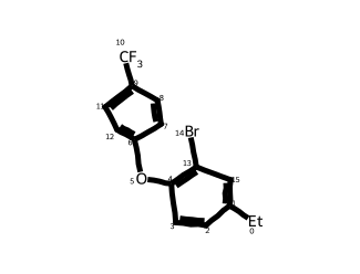 CCc1ccc(Oc2ccc(C(F)(F)F)cc2)c(Br)c1